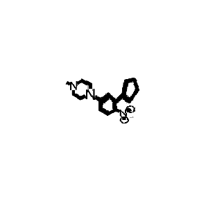 CN1CCN(c2ccc([N+](=O)[O-])c(C3=CCCC3)c2)CC1